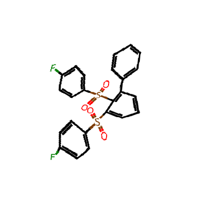 O=S(=O)(c1ccc(F)cc1)c1cccc(-c2ccccc2)c1S(=O)(=O)c1ccc(F)cc1